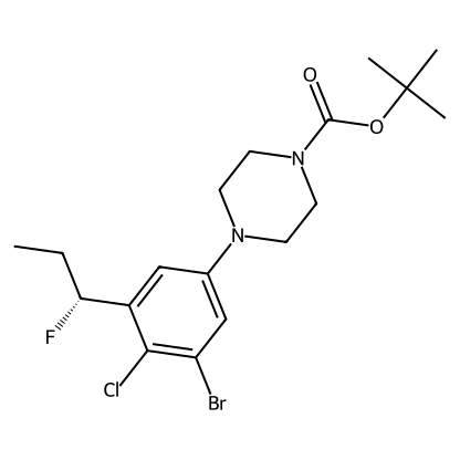 CC[C@@H](F)c1cc(N2CCN(C(=O)OC(C)(C)C)CC2)cc(Br)c1Cl